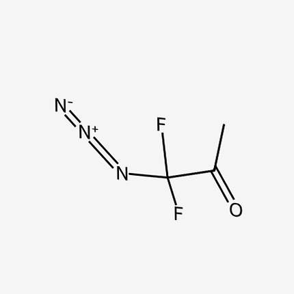 CC(=O)C(F)(F)N=[N+]=[N-]